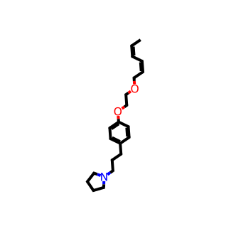 C/C=C\C=C/COCCOc1ccc(CCCN2CCCC2)cc1